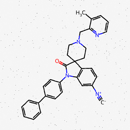 [C-]#[N+]c1ccc2c(c1)N(c1ccc(-c3ccccc3)cc1)C(=O)C21CCN(Cc2ncccc2C)CC1